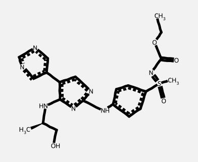 CCOC(=O)N=S(C)(=O)c1ccc(Nc2ncc(-c3cncnc3)c(N[C@H](C)CO)n2)cc1